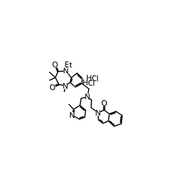 CCN1C(=O)C(C)(C)C(=O)N(C)c2cc(CN(CCn3ccc4ccccc4c3=O)Cc3cccnc3C)ccc21.Cl.Cl